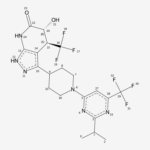 CC(C)c1nc(N2CCC(c3n[nH]c4c3[C@H](C(F)(F)F)[C@@H](O)C(=O)N4)CC2)cc(C(F)(F)F)n1